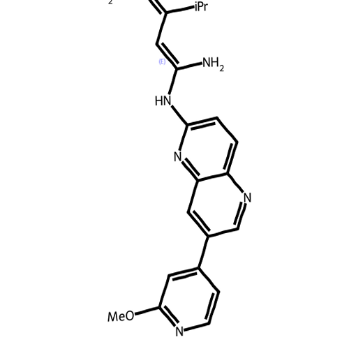 COc1cc(-c2cnc3ccc(N/C(N)=C/C(=C\N)C(C)C)nc3c2)ccn1